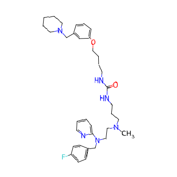 CN(CCCNC(=O)NCCCCOc1cccc(CN2CCCCC2)c1)CCN(Cc1ccc(F)cc1)c1ccccn1